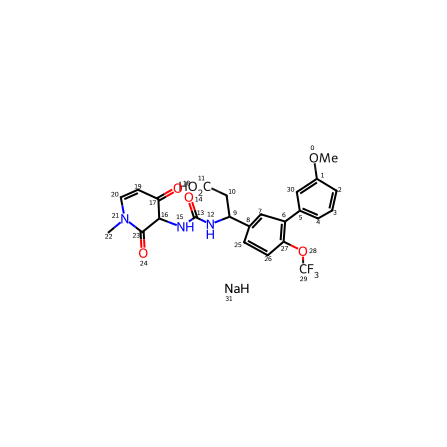 COc1cccc(-c2cc(C(CC(=O)O)NC(=O)NC3C(=O)C=CN(C)C3=O)ccc2OC(F)(F)F)c1.[NaH]